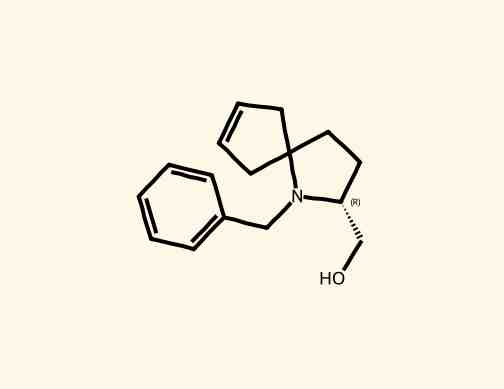 OC[C@H]1CCC2(CC=CC2)N1Cc1ccccc1